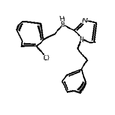 Clc1ccccc1CBc1nccn1CCc1ccccc1